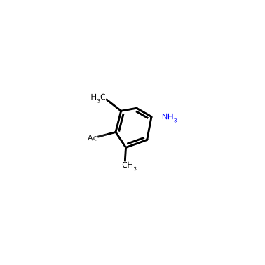 CC(=O)c1c(C)cccc1C.N